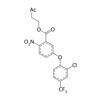 CC(=O)CCOC(=O)c1cc(Oc2ccc(C(F)(F)F)cc2Cl)ccc1[N+](=O)[O-]